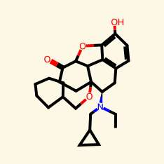 CCN(CC1CC1)[C@@H]1Cc2ccc(O)c3c2C2C(O3)C(=O)CCC21OCC1CCCCC1